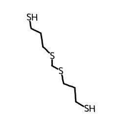 SCCCSCSCCCS